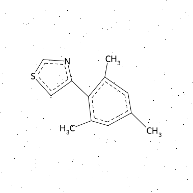 Cc1cc(C)c(-c2[c]scn2)c(C)c1